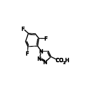 O=C(O)c1cn(-c2c(F)cc(F)cc2F)nn1